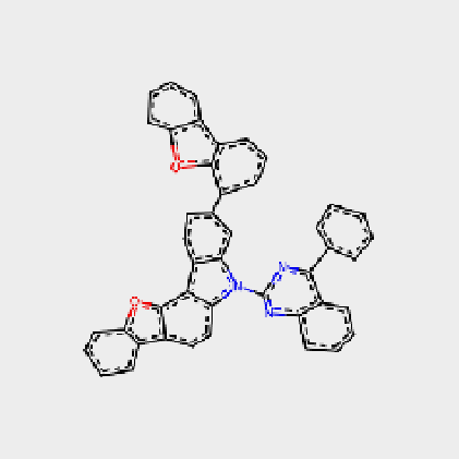 c1ccc(-c2nc(-n3c4cc(-c5cccc6c5oc5ccccc56)ccc4c4c5oc6ccccc6c5ccc43)nc3ccccc23)cc1